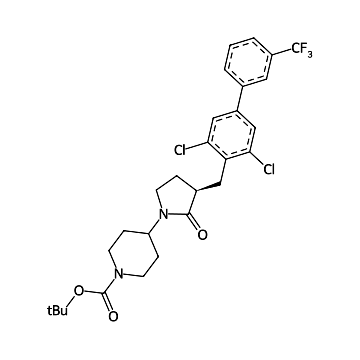 CC(C)(C)OC(=O)N1CCC(N2CC[C@@H](Cc3c(Cl)cc(-c4cccc(C(F)(F)F)c4)cc3Cl)C2=O)CC1